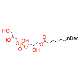 CCCCCCCCCCCCCCCC(=O)OC[C@@H](O)COP(=O)(O)OC[C@@H](O)CO